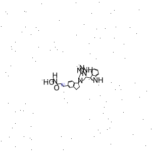 O=C(/C=C/c1ccc2c(c1)CCC2N(CCc1c[nH]c2ccccc12)Cc1nn[nH]n1)NO